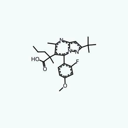 CCCC(C)(C(=O)O)c1c(C)nc2cc(C(C)(C)C)nn2c1-c1ccc(OC)cc1F